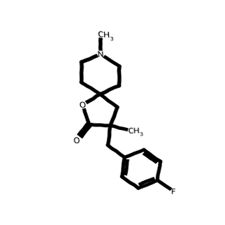 CN1CCC2(CC1)CC(C)(Cc1ccc(F)cc1)C(=O)O2